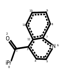 CC(C)C(=O)c1ccnc2ccccc12